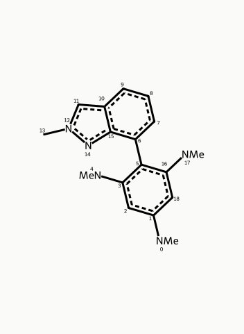 CNc1cc(NC)c(-c2cccc3cn(C)nc23)c(NC)c1